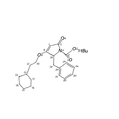 CC(C)(C)OC(=O)N1C(=O)C=C(OCCC2CCCCC2)C1Cc1ccccc1